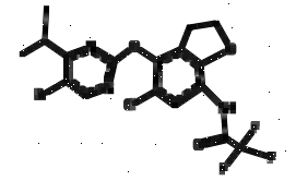 CC(C)c1nc(Oc2c(Cl)cc(NC(=O)C(F)(F)F)c3c2CCO3)ncc1Br